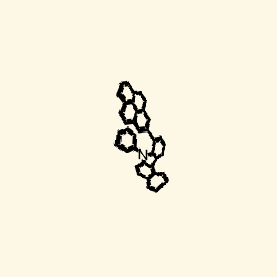 c1ccc(-n2c3ccc4ccccc4c3c3cccc(-c4cc5ccc6cccc7ccc(c4)c5c67)c32)cc1